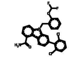 NC(=O)c1cccc2c1c1[c]cc(-c3c(Cl)cccc3Cl)cc1n2Cc1ccccc1OC(F)F